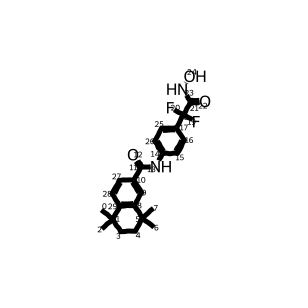 CC1(C)CCC(C)(C)c2cc(C(=O)Nc3ccc(C(F)(F)C(=O)NO)cc3)ccc21